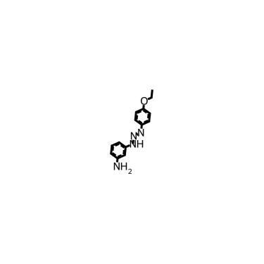 CCOc1ccc(/N=N/Nc2cccc(N)c2)cc1